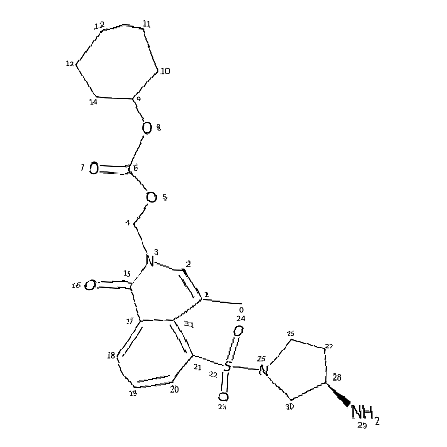 Cc1cn(COC(=O)OC2CCCCC2)c(=O)c2cccc(S(=O)(=O)N3CC[C@@H](N)C3)c12